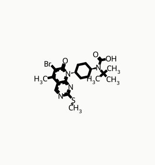 CSc1ncc2c(C)c(Br)c(=O)n([C@H]3CC[C@H](N(C(=O)O)C(C)(C)C)CC3)c2n1